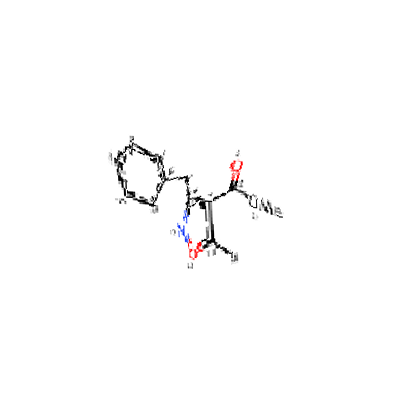 COC(=O)c1c(Cc2ccccc2)noc1C